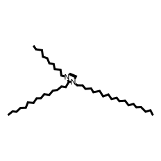 CCCCCCCCCCCCCCCCCCCN1C=CN(CCCCCCCCCC)C1CCCCCCCCCCCCCCC